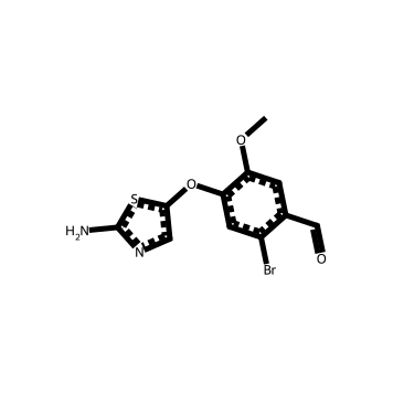 COc1cc(C=O)c(Br)cc1Oc1cnc(N)s1